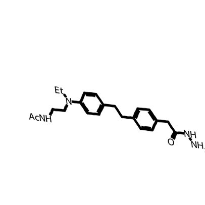 CCN(CCNC(C)=O)c1ccc(CCc2ccc(CC(=O)NN)cc2)cc1